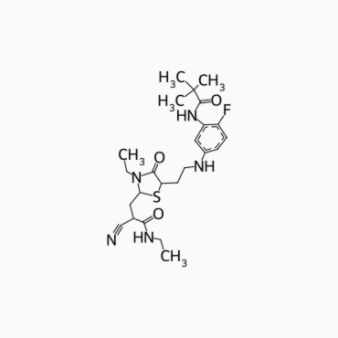 CCNC(=O)C(C#N)CC1SC(CCNc2ccc(F)c(NC(=O)C(C)(C)C)c2)C(=O)N1CC